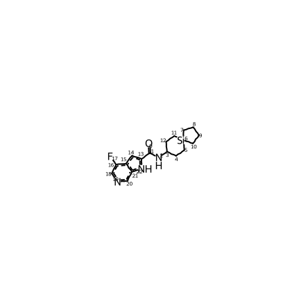 O=C(NC1CC[Si]2(CCCC2)CC1)c1cc2c(F)cncc2[nH]1